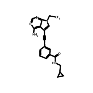 Nc1ncnc2c1c(C#Cc1cccc(C(=O)NCC3CC3)c1)cn2CC(F)(F)F